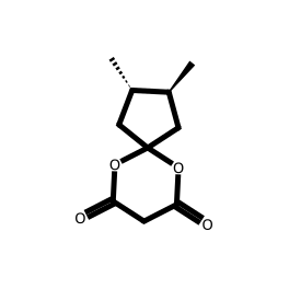 C[C@H]1CC2(C[C@@H]1C)OC(=O)CC(=O)O2